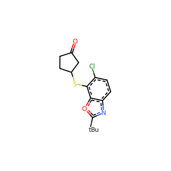 CC(C)(C)c1nc2ccc(Cl)c(SC3CCC(=O)C3)c2o1